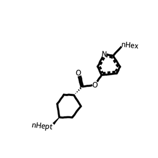 CCCCCCC[C@H]1CC[C@H](C(=O)Oc2ccc(CCCCCC)nc2)CC1